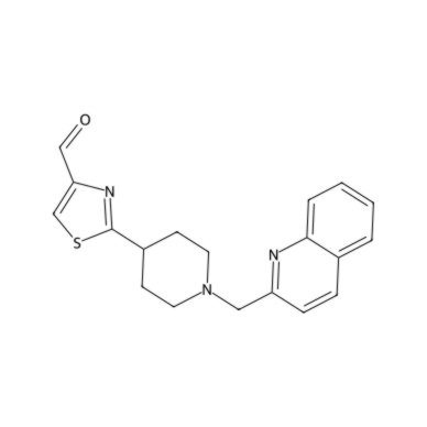 O=Cc1csc(C2CCN(Cc3ccc4ccccc4n3)CC2)n1